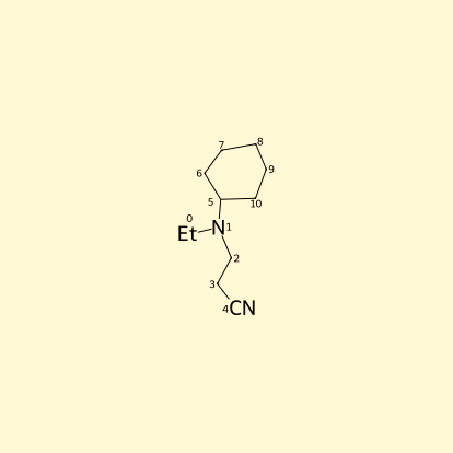 CCN(CCC#N)C1CCCCC1